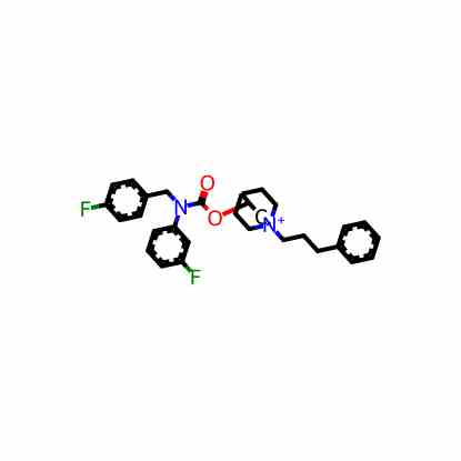 O=C(OC1C[N+]2(CCCc3ccccc3)CCC1CC2)N(Cc1ccc(F)cc1)c1cccc(F)c1